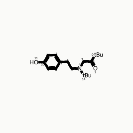 CC(C)(C)C(=O)CN(CCc1ccc(O)cc1)C(C)(C)C